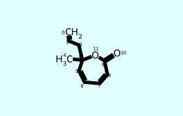 C=CCC1(C)C=CC=CC(=O)O1